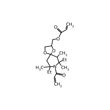 C=CC(=O)OCC1COC2(CC(C)(CC)N(C(=O)C=C)C(C)(CC)C2C)O1